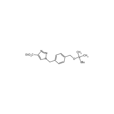 CCOC(=O)c1cn(Cc2ccc(CO[Si](C)(C)C(C)(C)C)cc2)nn1